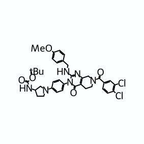 COc1ccc(CNc2nc3c(c(=O)n2-c2ccc(N4CCC(NC(=O)OC(C)(C)C)C4)cc2)CCN(C(=O)c2ccc(Cl)c(Cl)c2)C3)cc1